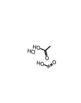 CC(=O)O.Cl.O=PO